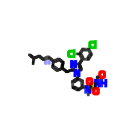 CC(C)C/C=C/c1ccc(Cc2nc(-c3ccc(Cl)cc3Cl)cn2-c2cccc(N(C)S(=O)(=O)NC=O)c2)cc1